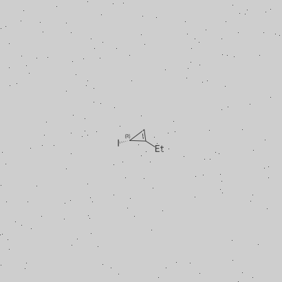 CCC1=C[C@H]1I